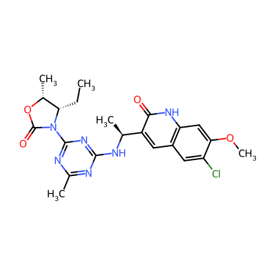 CC[C@H]1[C@@H](C)OC(=O)N1c1nc(C)nc(N[C@@H](C)c2cc3cc(Cl)c(OC)cc3[nH]c2=O)n1